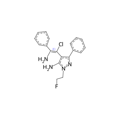 N/C(=C(/Cl)c1c(-c2ccccc2)nn(CCF)c1N)c1ccccc1